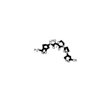 C[C@]1([C@@H](O)C(=O)Nc2ccc3c(N)noc3c2)OCCN(c2ccn(-c3cnnc(C#N)c3)n2)C1=O